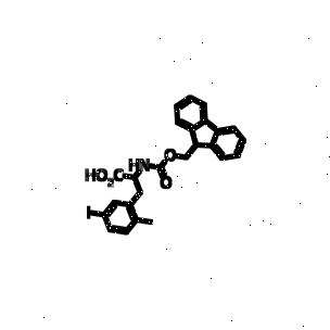 Cc1ccc(I)cc1CC(NC(=O)OCC1c2ccccc2-c2ccccc21)C(=O)O